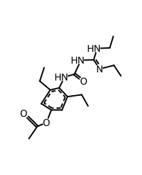 CCN=C(NCC)NC(=O)Nc1c(CC)cc(OC(C)=O)cc1CC